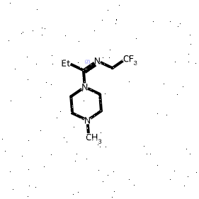 CC/C(=N/CC(F)(F)F)N1CCN(C)CC1